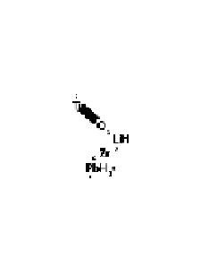 [LiH].[O]=[Ti].[PbH2].[Zr]